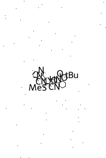 CSc1cc(-c2cnc3cccc(C#N)n23)cc(OCC2(NC(=O)OC(C)(C)C)CCCCC2)c1C#N